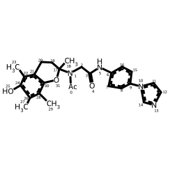 CC(=O)N(CC(=O)Nc1ccc(-n2ccnc2)cc1)C1(C)CCc2c(C)c(O)c(C)c(C)c2O1